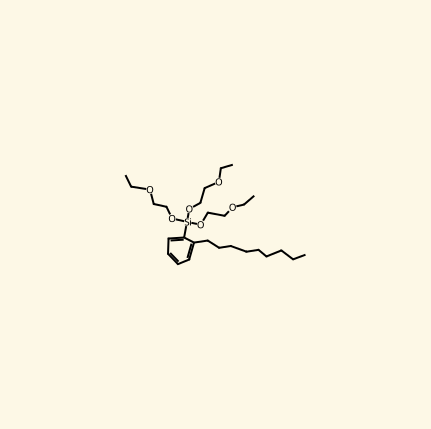 CCCCCCCCCc1ccccc1[Si](OCCOCC)(OCCOCC)OCCOCC